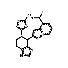 FC(F)c1cccn2nc(C3c4nc[nH]c4CCN3c3nnc(C(F)(F)F)o3)cc12